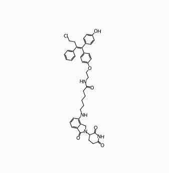 O=C(CCCCCNc1cccc2c1CN(C1CCC(=O)NC1=O)C2=O)NCCOc1ccc(C(=C(CCCl)c2ccccc2)c2ccc(O)cc2)cc1